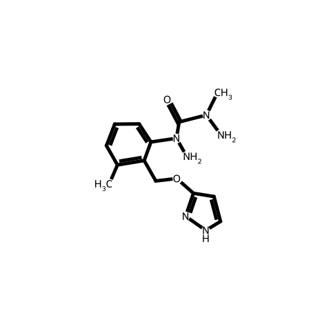 Cc1cccc(N(N)C(=O)N(C)N)c1COc1cc[nH]n1